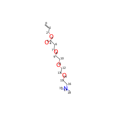 C=CCOC(=O)CCOCCOCCOCCN(C)C